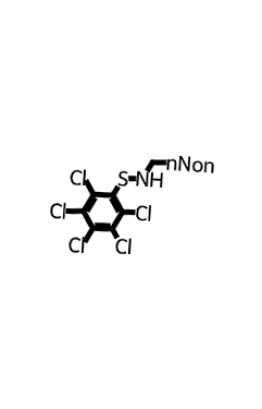 CCCCCCCCCCNSc1c(Cl)c(Cl)c(Cl)c(Cl)c1Cl